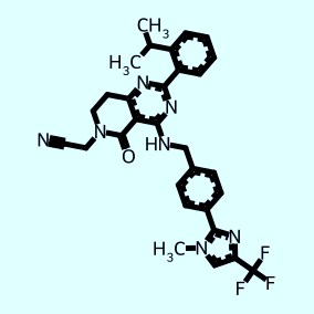 CC(C)c1ccccc1-c1nc2c(c(NCc3ccc(-c4nc(C(F)(F)F)cn4C)cc3)n1)C(=O)N(CC#N)CC2